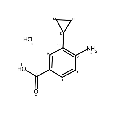 Cl.Nc1ccc(C(=O)O)cc1C1CC1